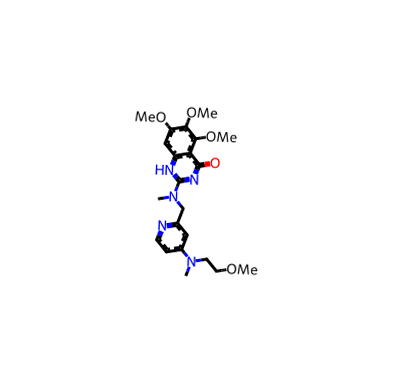 COCCN(C)c1ccnc(CN(C)c2nc(=O)c3c(OC)c(OC)c(OC)cc3[nH]2)c1